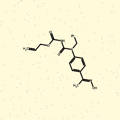 C=CCOC(=O)NC(=O)N(CC(C)C)c1ccc(C(C)=NO)cc1